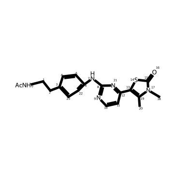 CC(=O)NCCc1ccc(Nc2nccc(-c3sc(=O)n(C)c3C)n2)cc1